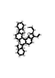 C=Cc1c(/C=C\C)oc2c1ccc1c2c2c3sc4ccccc4c3ccc2n2cc3ccccc3c12